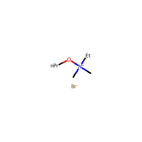 CCCO[N+](C)(C)CC.[Br-]